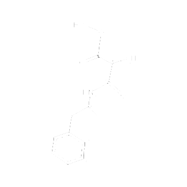 COC(=O)C(C)C(=O)NC(I)Cc1ccccc1